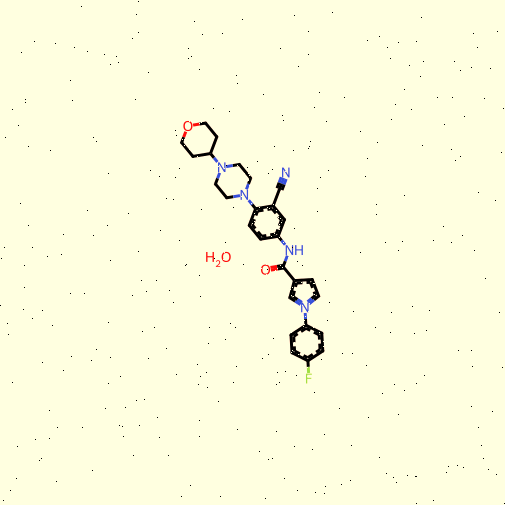 N#Cc1cc(NC(=O)c2ccn(-c3ccc(F)cc3)c2)ccc1N1CCN(C2CCOCC2)CC1.O